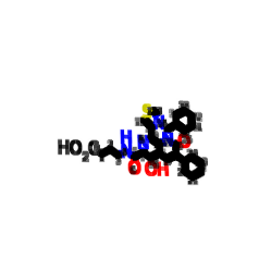 O=C(O)CCCNC(=O)c1nc(-c2cscn2)c2c(cc(-c3ccccc3)c(=O)n2Cc2ccccc2)c1O